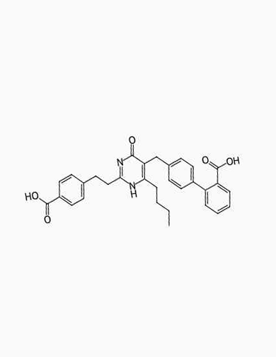 CCCCc1[nH]c(CCc2ccc(C(=O)O)cc2)nc(=O)c1Cc1ccc(-c2ccccc2C(=O)O)cc1